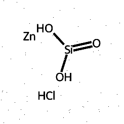 Cl.O=[Si](O)O.[Zn]